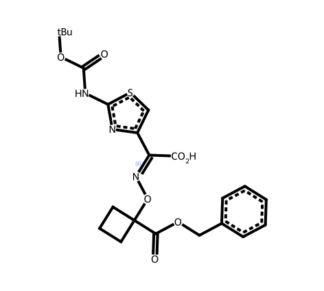 CC(C)(C)OC(=O)Nc1nc(/C(=N/OC2(C(=O)OCc3ccccc3)CCC2)C(=O)O)cs1